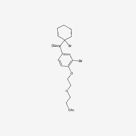 CC(=O)OCCOCCOc1ccc(C(=O)C2(Br)CCCCC2)cc1Br